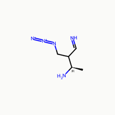 C[C@@H](N)C(C=N)CN=[N+]=[N-]